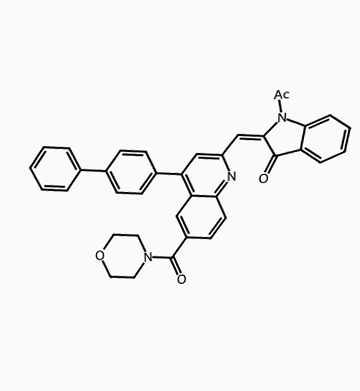 CC(=O)N1C(=Cc2cc(-c3ccc(-c4ccccc4)cc3)c3cc(C(=O)N4CCOCC4)ccc3n2)C(=O)c2ccccc21